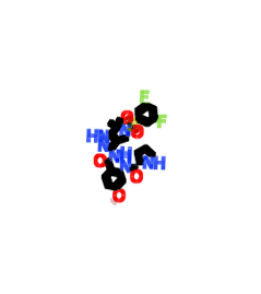 COc1ccc(C(=O)Nc2n[nH]c3c2CN(S(=O)(=O)c2cc(F)cc(F)c2)C3(C)C)c(NC(=O)[C@@H]2CCCN2)c1